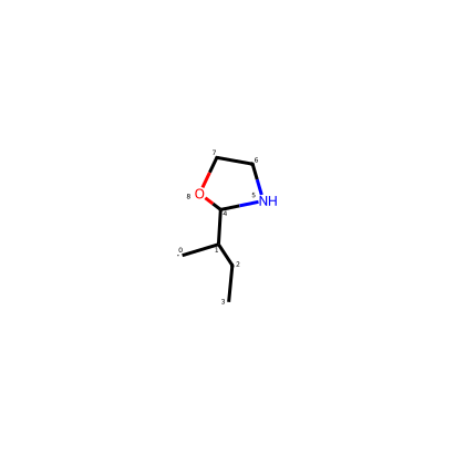 [CH2]C(CC)C1NCCO1